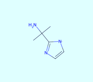 CC(C)(N)C1=NC=C[N]1